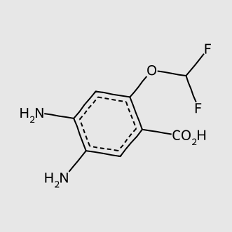 Nc1cc(OC(F)F)c(C(=O)O)cc1N